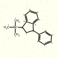 C[N+](C)(C)C1CC(c2ccccc2)c2ccccc21